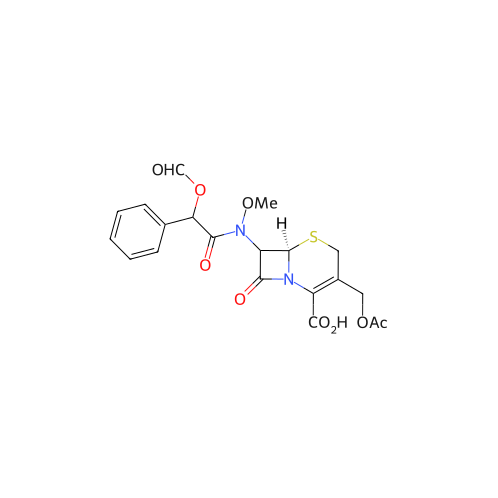 CON(C(=O)C(OC=O)c1ccccc1)C1C(=O)N2C(C(=O)O)=C(COC(C)=O)CS[C@H]12